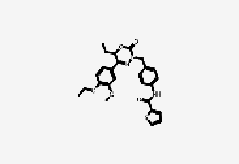 CCOc1ccc(C2=NN(Cc3ccc(NC(=O)c4cccs4)cc3)C(=O)OC2CC)cc1OC